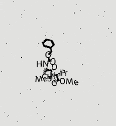 C=C[C@H](NC(=O)OCc1ccccc1)C(=O)N(SC)[C@H](C(=O)OC)C(C)C